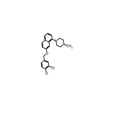 CN1CCN(c2cccc3ccc(OCc4ccc(Cl)c(Cl)c4)cc23)CC1